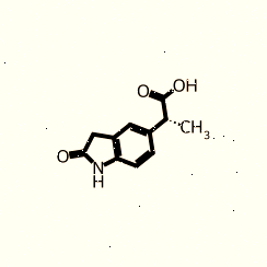 C[C@@H](C(=O)O)c1ccc2c(c1)CC(=O)N2